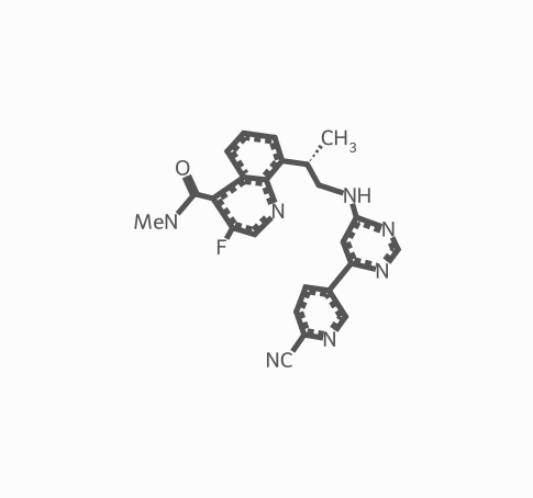 CNC(=O)c1c(F)cnc2c([C@H](C)CNc3cc(-c4ccc(C#N)nc4)ncn3)cccc12